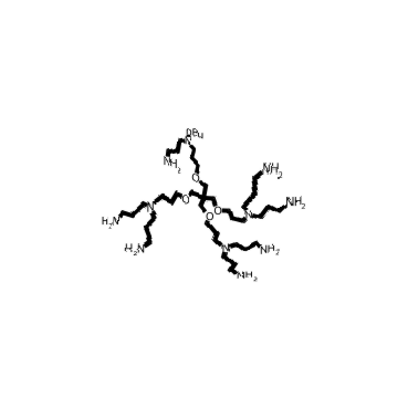 CCCCN(CCCN)CCCOCC(COCCCN(CCCN)CCCN)(COCCCN(CCCN)CCCN)COCCCN(CCCN)CCCN